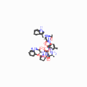 CC(=O)N[C@@H](Cc1c[nH]c2ccccc12)C(=O)N[C@@H](CC(C)C)C(=O)N[C@@H](CC(=O)O)C(=O)N([C@@H](Cc1ccccc1)C(N)=O)[N+]1(N(C(=O)OC(C)(C)C)C(=O)[C@H](C)N)CCCC1=O